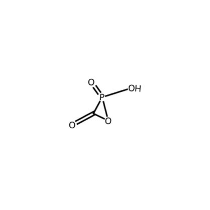 O=C1OP1(=O)O